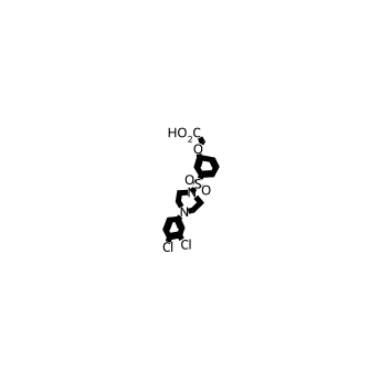 O=C(O)COc1cccc(S(=O)(=O)N2CCN(c3ccc(Cl)c(Cl)c3)CC2)c1